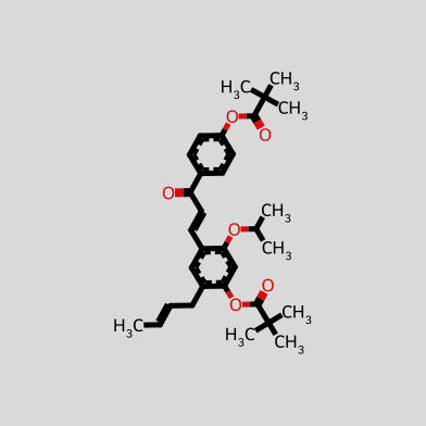 C/C=C/Cc1cc(/C=C/C(=O)c2ccc(OC(=O)C(C)(C)C)cc2)c(OC(C)C)cc1OC(=O)C(C)(C)C